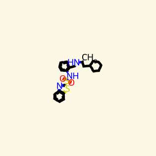 C[C@@H](CC1CCCCC1)NCc1ccccc1NS(=O)(=O)c1nc2ccccc2s1